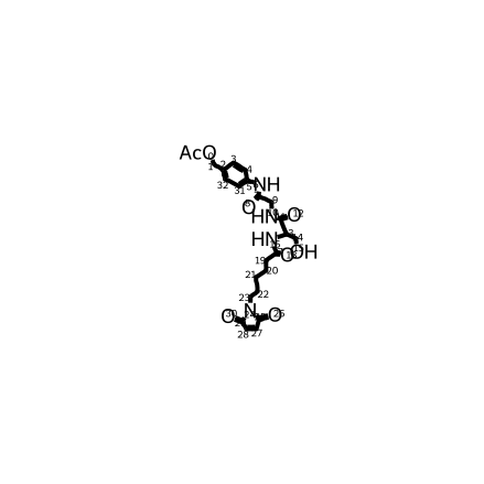 CC(=O)OCc1ccc(NC(=O)CNC(=O)C(CO)NC(=O)CCCCCN2C(=O)C=CC2=O)cc1